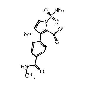 CNC(=O)c1ccc(-c2ccn(S(N)(=O)=O)c2C(=O)[O-])cc1.[Na+]